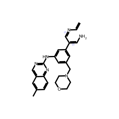 C=C/N=C\C(=C/N)c1cc(CN2CCOCC2)cc(Nc2ncc3cc(C)ccc3n2)c1